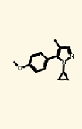 COc1ccc(-c2c(C)cnn2C2CC2)cc1